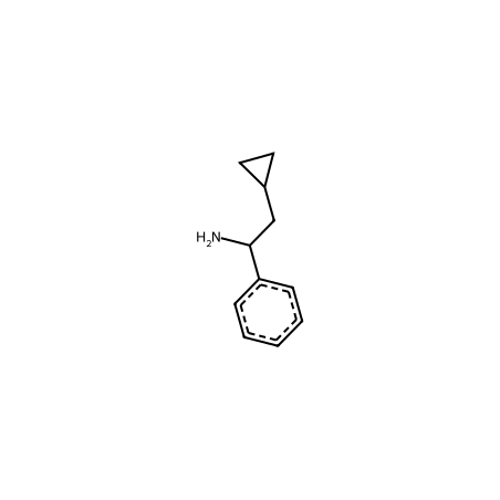 NC(CC1CC1)c1ccccc1